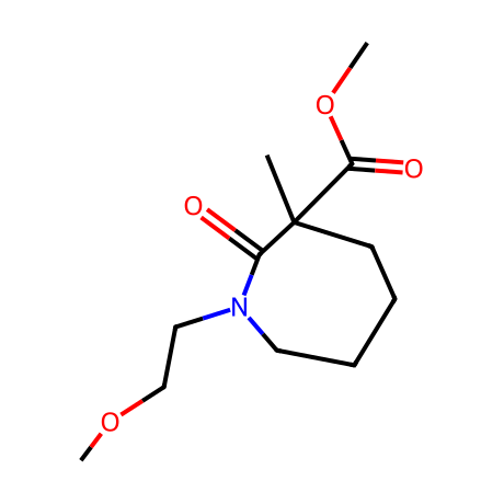 COCCN1CCCCC(C)(C(=O)OC)C1=O